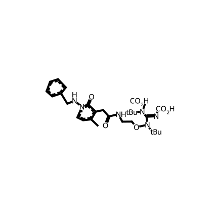 Cc1ccn(NCc2ccccc2)c(=O)c1CC(=O)NCCON(C(=NC(=O)O)N(C(=O)O)C(C)(C)C)C(C)(C)C